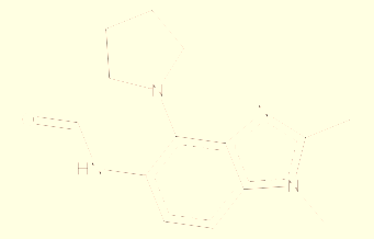 Cc1nc2c(N3CCCC3)c(NC=O)ccc2n1C